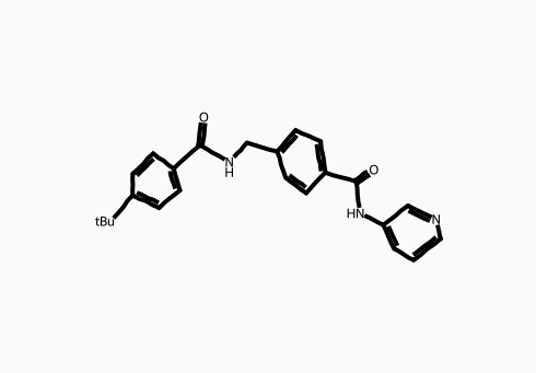 CC(C)(C)c1ccc(C(=O)NCc2ccc(C(=O)Nc3cccnc3)cc2)cc1